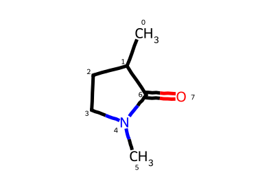 CC1CCN(C)C1=O